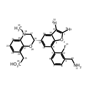 [2H]c1oc2c(-c3cccc(CN)c3F)cc([C@H]3CN(C)c4cccc(CC(=O)O)c4O3)cc2c1[2H]